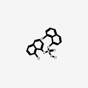 O=P(OCl)(Oc1cccc2cccc(Cl)c12)Oc1cccc2cccc(Cl)c12